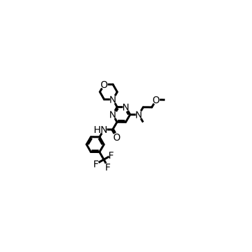 COCCN(C)c1cc(C(=O)Nc2cccc(C(F)(F)F)c2)nc(N2CCOCC2)n1